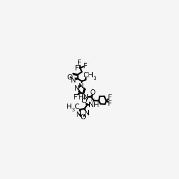 CCC(c1nocc1CC(F)(F)F)n1cc(NC(=O)[C@@H](NC(=O)c2nonc2C)C2CCC(F)(F)CC2)c(F)n1